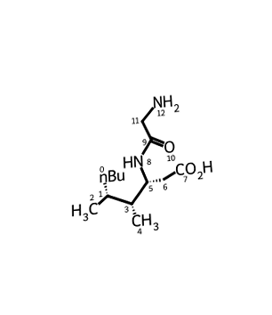 CCCC[C@@H](C)[C@@H](C)[C@@H](CC(=O)O)NC(=O)CN